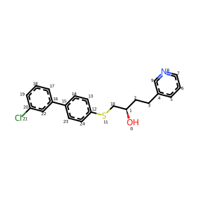 O[C@H](CCc1cccnc1)CSc1ccc(-c2cccc(Cl)c2)cc1